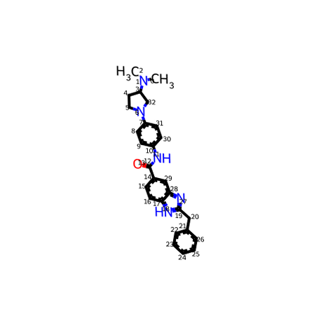 CN(C)C1CCN(c2ccc(NC(=O)c3ccc4[nH]c(Cc5ccccc5)nc4c3)cc2)C1